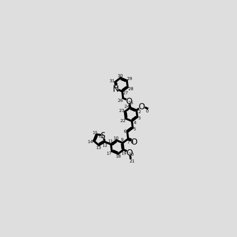 COc1cc(C=CC(=O)c2cc(-c3cccs3)ccc2OC)ccc1OCc1ccccn1